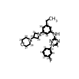 CCc1cc(Nc2ncn(-c3cccc(F)c3)n2)cc(N2CC(N3CCOCC3)C2)c1